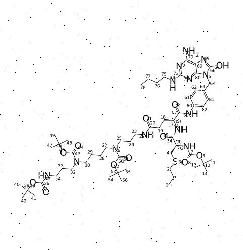 [CH2][CH]CSC[C@H](NC(=O)OC(C)(C)C)C(=O)N[C@@H](CCC(=O)NCCCN(CCCCN(CCCNC(=O)OC(C)(C)C)C(=O)OC(C)(C)C)C(=O)OC(C)(C)C)C(=O)Nc1ccc(Cn2c(O)nc3c(N)nc(NCCCC)nc32)cc1